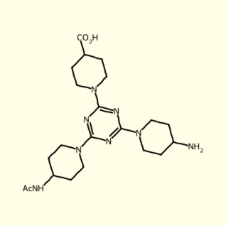 CC(=O)NC1CCN(c2nc(N3CCC(N)CC3)nc(N3CCC(C(=O)O)CC3)n2)CC1